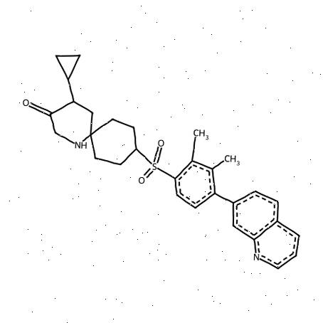 Cc1c(-c2ccc3cccnc3c2)ccc(S(=O)(=O)C2CCC3(CC2)CC(C2CC2)C(=O)CN3)c1C